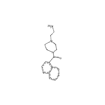 NCCN1CCN(C(=O)c2ccnc3ccccc23)CC1